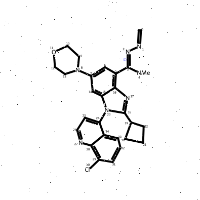 C=N/N=C(\NC)c1cc(N2CCOCC2)cc2c1nc(C1CCC1)n2-c1ccnc2c(Cl)cccc12